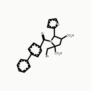 CC(C)CC1(C(=O)O)CC(C(=O)O)C(c2cccs2)N1C(=O)c1ccc(-c2ccccc2)cc1